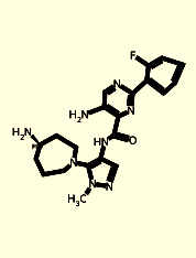 Cn1ncc(NC(=O)c2nc(-c3ccccc3F)ncc2N)c1N1CCC[C@@H](N)CC1